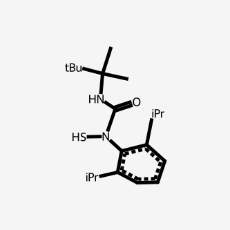 CC(C)c1cccc(C(C)C)c1N(S)C(=O)NC(C)(C)C(C)(C)C